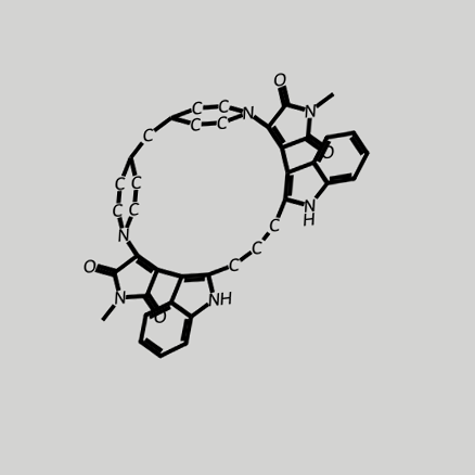 CN1C(=O)C2=C(C1=O)N1CCC(CC1)CC1CCN(CC1)C1=C(C(=O)N(C)C1=O)c1c([nH]c3ccccc13)CCCc1[nH]c3ccccc3c12